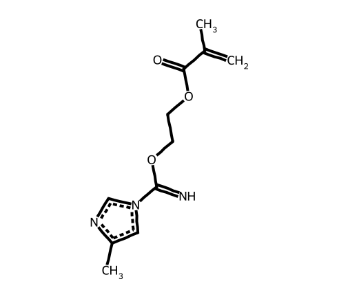 C=C(C)C(=O)OCCOC(=N)n1cnc(C)c1